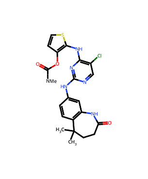 CNC(=O)Oc1ccsc1Nc1nc(Nc2ccc3c(c2)NC(=O)CCC3(C)C)ncc1Cl